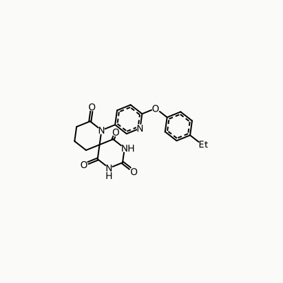 CCc1ccc(Oc2ccc(N3C(=O)CCCC34C(=O)NC(=O)NC4=O)cn2)cc1